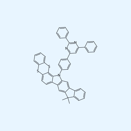 CC1(C)c2ccccc2-c2cc3c(cc21)c1ccc2c(c1n3-c1ccc(-c3cc(-c4ccccc4)nc(-c4ccccc4)n3)cc1)Sc1ccccc1S2